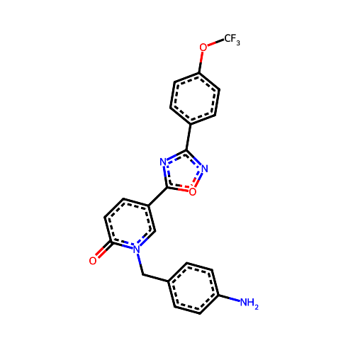 Nc1ccc(Cn2cc(-c3nc(-c4ccc(OC(F)(F)F)cc4)no3)ccc2=O)cc1